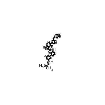 CN(C)CCNc1cc(F)cc(-c2cccc3[nH]c(-c4n[nH]c5cnc(-c6cncc(CN7CCC(F)(F)C7)c6)c(F)c45)nc23)c1